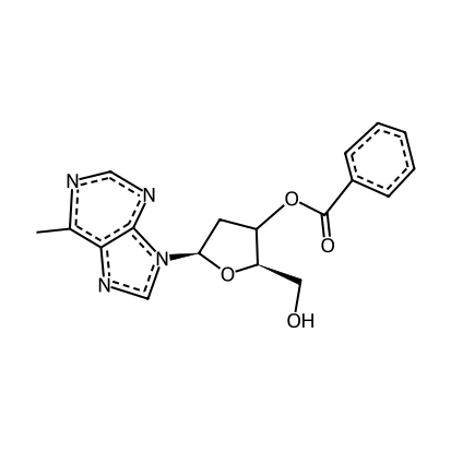 Cc1ncnc2c1ncn2[C@H]1CC(OC(=O)c2ccccc2)[C@@H](CO)O1